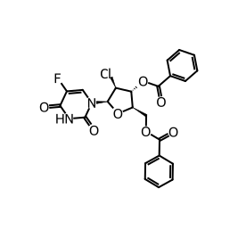 O=C(OC[C@H]1O[C@@H](n2cc(F)c(=O)[nH]c2=O)[C@@H](Cl)[C@@H]1OC(=O)c1ccccc1)c1ccccc1